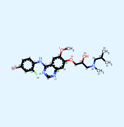 COc1cc2c(Nc3ccc(Br)cc3F)ncnc2cc1OCC(O)CN(C)CC(C)C